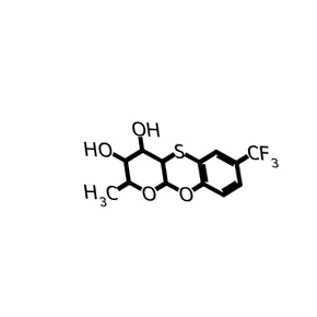 CC1OC2Oc3ccc(C(F)(F)F)cc3SC2C(O)C1O